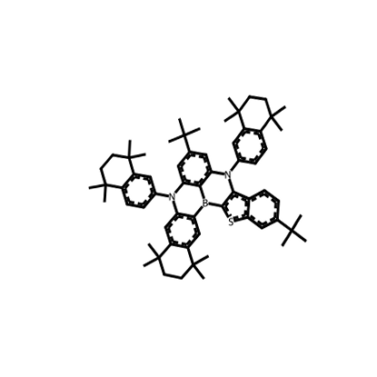 CC(C)(C)c1cc2c3c(c1)N(c1ccc4c(c1)C(C)(C)CCC4(C)C)c1c(sc4cc(C(C)(C)C)ccc14)B3c1cc3c(cc1N2c1ccc2c(c1)C(C)(C)CCC2(C)C)C(C)(C)CCC3(C)C